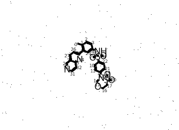 Cc1ccc(NS(=O)(=O)c2ccc(N3COCCS3(=O)=O)cc2)cc1-c1ccc2cnccc2n1